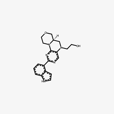 OCCN1C[C@@H]2COCCN2c2nc(-c3cccc4[nH]ccc34)ncc21